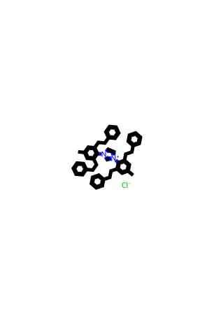 Cc1cc(CCc2ccccc2)c(-n2cc[n+](-c3c(CCc4ccccc4)cc(C)cc3CCc3ccccc3)c2)c(CCc2ccccc2)c1.[Cl-]